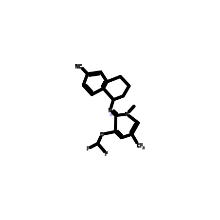 Cn1cc(C(F)(F)F)cc(OC(F)F)/c1=N/C1CCCc2cc(C#N)ccc21